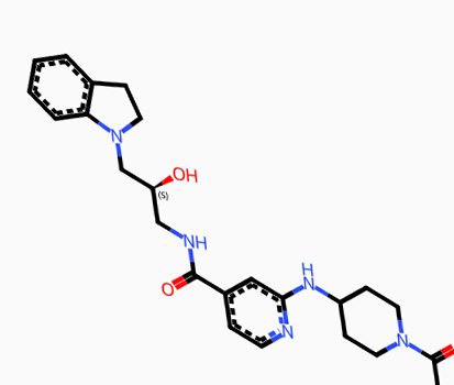 CC(=O)N1CCC(Nc2cc(C(=O)NC[C@H](O)CN3CCc4ccccc43)ccn2)CC1